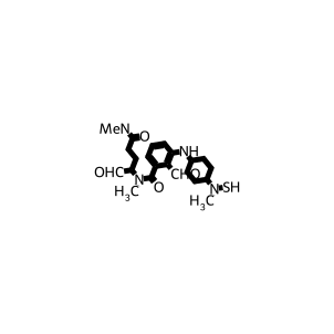 CNC(=O)CCC(C=O)N(C)C(=O)c1cccc(NC2CCC(N(C)S)CC2)c1C=O